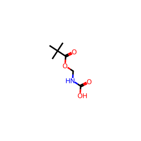 CC(C)(C)C(=O)OCNC(=O)O